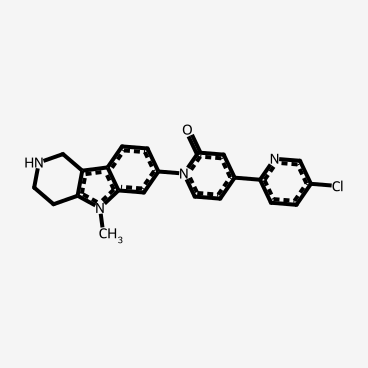 Cn1c2c(c3ccc(-n4ccc(-c5ccc(Cl)cn5)cc4=O)cc31)CNCC2